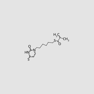 C=C(C)C(=O)SCCCCCCn1ccc(=S)[nH]c1=O